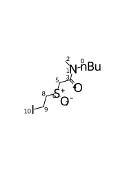 CCCCN(C)C(=O)C[S+]([O-])CCI